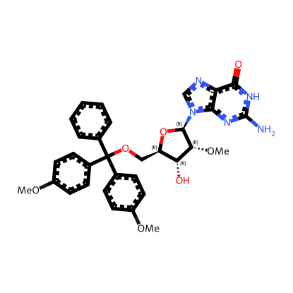 COc1ccc(C(OC[C@H]2O[C@@H](n3cnc4c(=O)[nH]c(N)nc43)[C@H](OC)[C@@H]2O)(c2ccccc2)c2ccc(OC)cc2)cc1